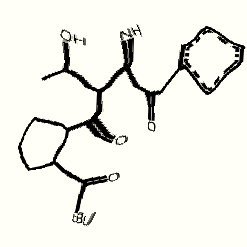 CC(O)C(C(=N)C(=O)c1ccccc1)C(=O)C1CCCC1C(=O)C(C)(C)C